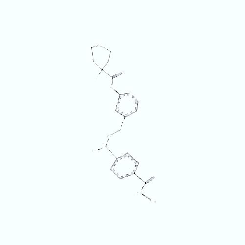 CC(C)[C@@H](NCc1ccnc(NC(=O)C2(C)CCNCC2)c1)c1ccc(C(=O)NO)cc1